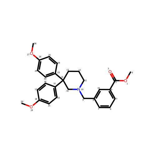 COC(=O)c1cccc(CN2CCCC(c3ccc(OC)cc3)(c3ccc(OC)cc3)C2)c1